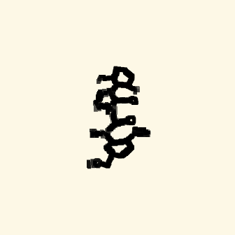 COc1ccc(CO)cc1N(C(=O)n1nnn(-c2c(F)cccc2F)c1=O)C(C)C